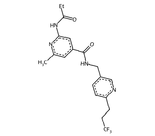 CCC(=O)Nc1cc(C(=O)NCc2ccc(CCC(F)(F)F)nc2)cc(C)n1